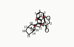 O=C1COc2ccccc2N1CCN1C2CCC1CC(c1ccccc1)C2